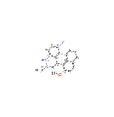 CCOc1ccc2ccccc2c1C1CC(C(=O)O)Nc2ccc(I)cc21